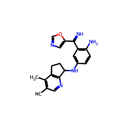 Cc1c(C#N)cnc2c1CCC2Nc1ccc(N)c(C(=N)c2cnco2)c1